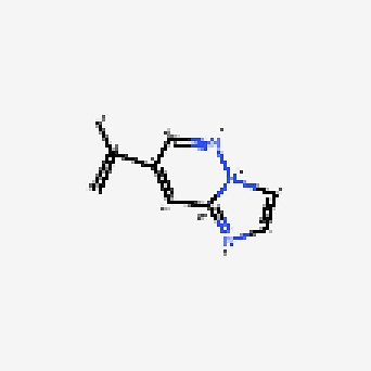 C=C(C)c1cnn2ccnc2c1